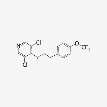 FC(F)(F)Oc1ccc(CC[CH]c2c(Cl)cncc2Cl)cc1